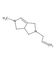 C=CCN1CC2=CN(C)CC2C1